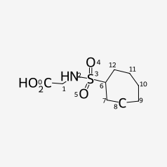 O=C(O)CNS(=O)(=O)C1CCCCCC1